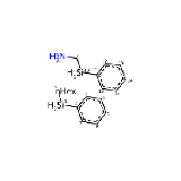 CCCCCC[SiH2]c1ccccc1.NC[SiH2]c1ccccc1